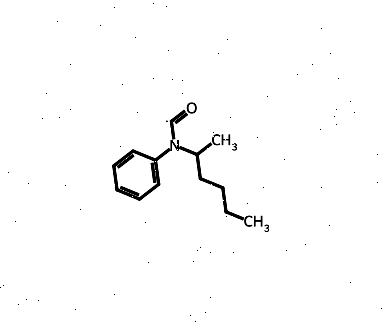 CCCCC(C)N([C]=O)c1ccccc1